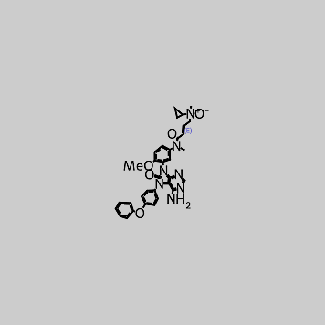 COc1ccc(N(C)C(=O)/C=C/C[N+](C)([O-])C2CC2)cc1-n1c(=O)n(-c2ccc(Oc3ccccc3)cc2)c2c(N)ncnc21